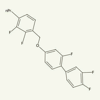 CCCc1ccc(COc2ccc(-c3ccc(F)c(F)c3)c(F)c2)c(F)c1F